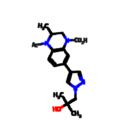 CC(=O)N1c2ccc(-c3cnn(CC(C)(C)O)c3)cc2N(C(=O)O)CC1C